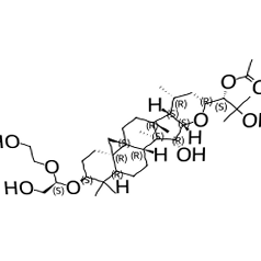 CC(=O)O[C@@H]([C@H]1C[C@@H](C)[C@@H]2[C@H](O1)[C@H](O)[C@@]1(C)[C@@H]3CC[C@H]4C(C)(C)[C@@H](O[C@@H](CO)OCCO)CC[C@@]45C[C@@]35CC[C@]21C)C(C)(C)O